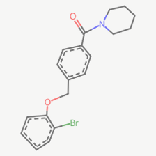 O=C(c1ccc(COc2ccccc2Br)cc1)N1CCCCC1